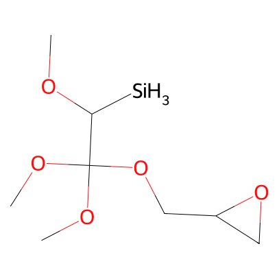 COC([SiH3])C(OC)(OC)OCC1CO1